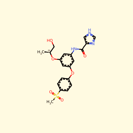 C[C@@H](CO)Oc1cc(NC(=O)c2c[nH]cn2)cc(Oc2ccc(S(C)(=O)=O)cc2)c1